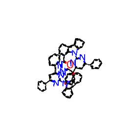 c1ccc(-c2cc(-c3ccccc3)nc(-n3c4ccccc4c4cccc(-c5nnc(-c6cccc7c8ccccc8n(-c8nc(-c9ccccc9)cc(-c9ccccc9)n8)c67)o5)c43)n2)cc1